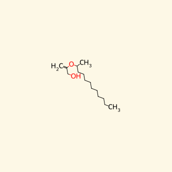 C=C(CO)OC(C)CCCCCCCCCC